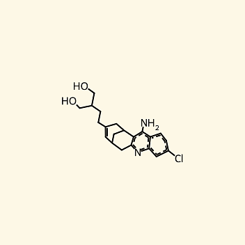 Nc1c2c(nc3cc(Cl)ccc13)CC1C=C(CCC(CO)CO)CC2C1